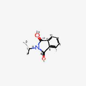 [CH2][C@@H](C)N1C(=O)c2ccccc2C1=O